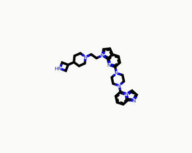 c1cc(N2CCN(c3ccc4ccn(CCN5CCC(C6CNC6)CC5)c4n3)CC2)n2ccnc2c1